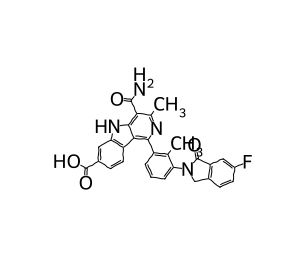 Cc1nc(-c2cccc(N3Cc4ccc(F)cc4C3=O)c2C)c2c([nH]c3cc(C(=O)O)ccc32)c1C(N)=O